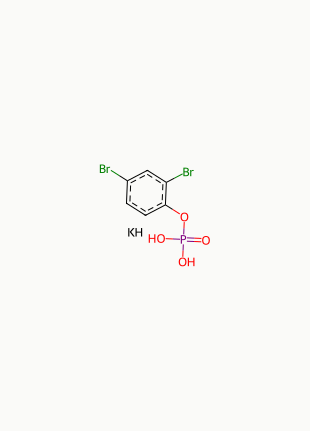 O=P(O)(O)Oc1ccc(Br)cc1Br.[KH]